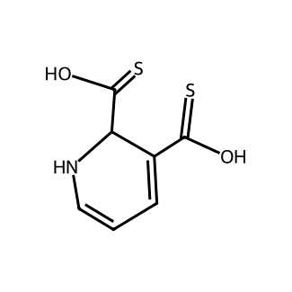 OC(=S)C1=CC=CNC1C(O)=S